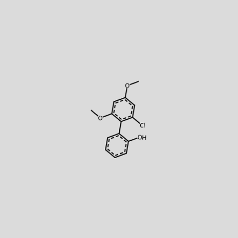 COc1cc(Cl)c(-c2ccccc2O)c(OC)c1